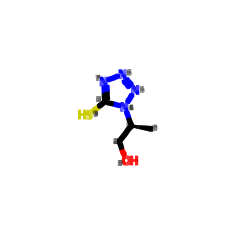 C[C@@H](CO)n1nnnc1S